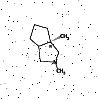 CN1CC2CCC[C@@]2(C)C1